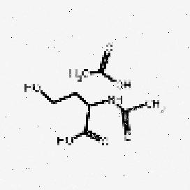 CC(=O)NC(CCO)C(=O)O.CC(=O)O